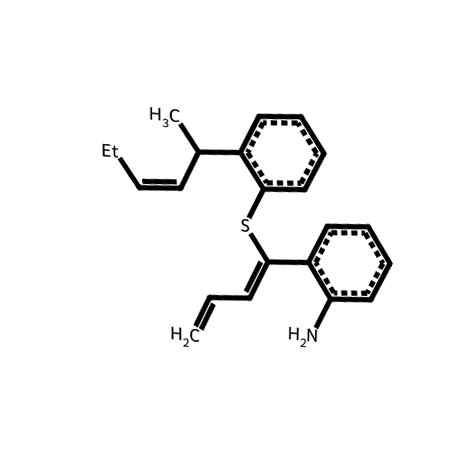 C=C/C=C(\Sc1ccccc1C(C)/C=C\CC)c1ccccc1N